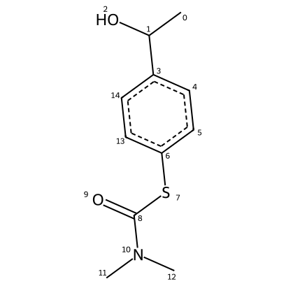 CC(O)c1ccc(SC(=O)N(C)C)cc1